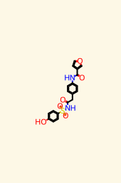 O=C(Cc1ccc(NC(=O)c2ccoc2)cc1)NS(=O)(=O)c1ccc(O)cc1